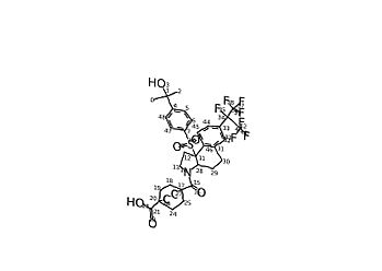 CC(C)(O)c1ccc(S(=O)(=O)C23CCN(C(=O)C45CCC(C(=O)O)(CC4)CC5)C2CCc2cc(C(F)(C(F)(F)F)C(F)(F)F)ccc23)cc1